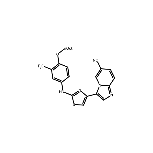 CCCCCCCCOc1ccc(Nc2nc(-c3cnc4ccc(C#N)cn34)cs2)cc1C(F)(F)F